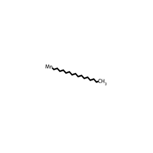 CCCCCCCCCCCCCCC[CH2][Mn]